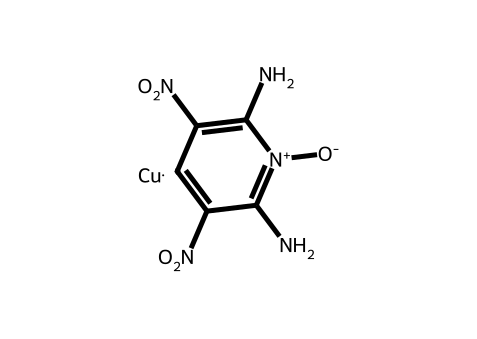 Nc1c([N+](=O)[O-])cc([N+](=O)[O-])c(N)[n+]1[O-].[Cu]